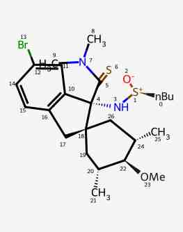 CCCC[S@+]([O-])N[C@@]1(C(=S)N(C)C)c2cc(Br)ccc2C[C@@]12C[C@@H](C)[C@H](OC)[C@@H](C)C2